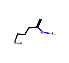 C=C(CCCCCCCC)NCCCC